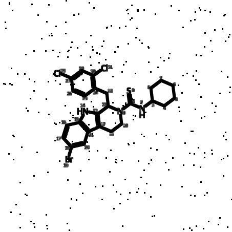 S=C(NC1CCCCC1)N1CCc2c([nH]c3ccc(Br)cc23)C1Cc1ccc(Cl)cc1Cl